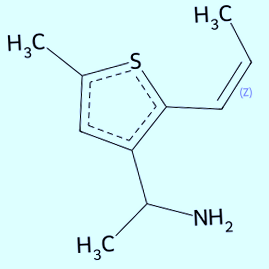 C/C=C\c1sc(C)cc1C(C)N